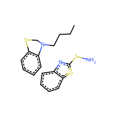 CCCCN1CSc2ccccc21.NSc1nc2ccccc2s1